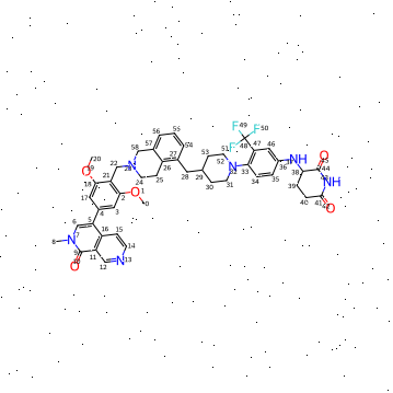 COc1cc(-c2cn(C)c(=O)c3cnccc23)cc(OC)c1CN1CCc2c(CC3CCN(c4ccc(NC5CCC(=O)NC5=O)cc4C(F)(F)F)CC3)cccc2C1